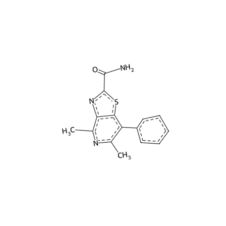 Cc1nc(C)c2nc(C(N)=O)sc2c1-c1ccccc1